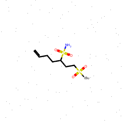 C=CCCC(CCS(=O)(=O)C(C)(C)C)S(N)(=O)=O